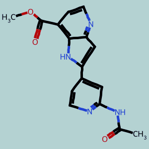 COC(=O)c1ccnc2cc(-c3ccnc(NC(C)=O)c3)[nH]c12